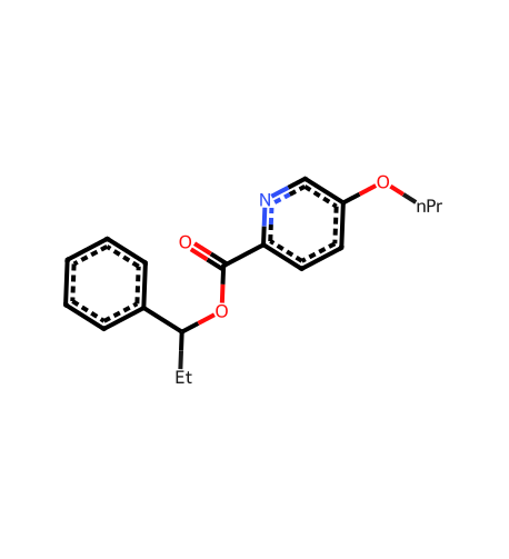 CCCOc1ccc(C(=O)OC(CC)c2ccccc2)nc1